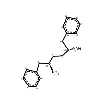 CN[C@H](CC[C@@H](N)Cc1ccccc1)Cc1ccccc1